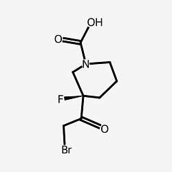 O=C(O)N1CCC[C@](F)(C(=O)CBr)C1